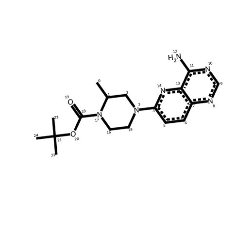 CC1CN(c2ccc3ncnc(N)c3n2)CCN1C(=O)OC(C)(C)C